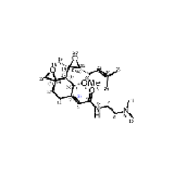 CO[C@@H]1/C(=C\C(=O)NCCN(C)C)CC[C@]2(CO2)[C@H]1[C@@]1(C)O[C@@H]1CC=C(C)C